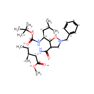 CC[C@H](C)[C@H](NC(=O)C1CN(Cc2ccccc2)OC1[C@H](CC(C)C)NC(=O)OC(C)(C)C)C(=O)OC